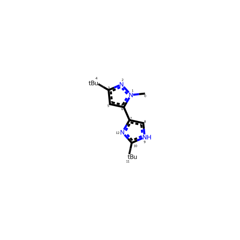 Cn1nc(C(C)(C)C)cc1-c1c[nH]c(C(C)(C)C)n1